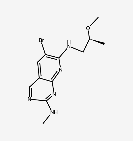 CNc1ncc2cc(Br)c(NC[C@H](C)OC)nc2n1